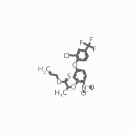 C=CCOC(=S)C(C)Oc1cc(Oc2ccc(C(F)(F)F)cc2Cl)ccc1[N+](=O)[O-]